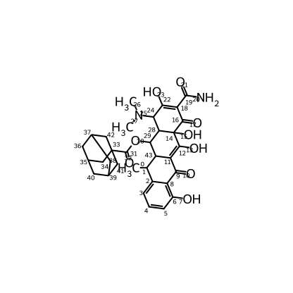 CC1c2cccc(O)c2C(=O)C2=C(O)C3(O)C(=O)C(C(N)=O)=C(O)C(N(C)C)C3C(OC(=O)C34CC5CC(CC(C5)C3)C4)C21